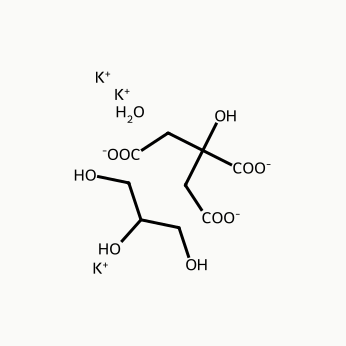 O.O=C([O-])CC(O)(CC(=O)[O-])C(=O)[O-].OCC(O)CO.[K+].[K+].[K+]